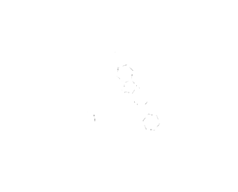 O=C(Nc1nc2ccc(CO)cc2n1C1CCC(C(=O)O)CC1)c1ccc(F)cc1